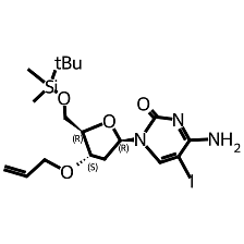 C=CCO[C@H]1C[C@H](n2cc(I)c(N)nc2=O)O[C@@H]1CO[Si](C)(C)C(C)(C)C